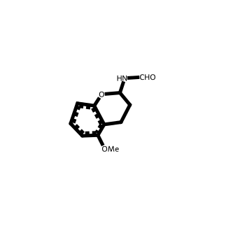 COc1cccc2c1CCC(NC=O)O2